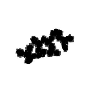 c1ccc(-c2nc(-c3ccccc3)nc(-c3cccc(-c4cccc5oc6ccc(-c7ccc8c(c7)c7cc(-c9cccc(-c%10nc(-c%11ccccc%11)nc(-c%11cccc(-c%12cccc%13oc%14ccc(-c%15ccc%16c(c%15)c%15ccccc%15n%16-c%15nc(-c%16ccccc%16)nc(-c%16ccccc%16)n%15)cc%14c%12%13)c%11)n%10)c9)ccc7n8-c7ccc8c(c7)c7ccccc7n8-c7ccccc7)cc6c45)c3)n2)cc1